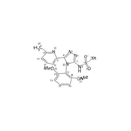 CCS(=O)(=O)Nc1nnc(-c2cccc(C)n2)n1-c1c(OC)cccc1OC